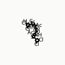 CC(=O)c1c(C(=O)OC(=O)c2[nH]c3c(-c4cc(Cl)cc(Cl)c4)c(C)sc3c2C(C)=O)[nH]c2c(-c3cc(Cl)cc(Cl)c3)csc12